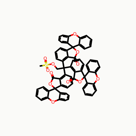 CS(=O)(=O)OCC(c1cccc2c1C(=O)OC21c2ccccc2Oc2ccccc21)(c1cccc2c1C(=O)OC21c2ccccc2Oc2ccccc21)c1cccc2c1C(=O)OC21c2ccccc2Oc2ccccc21